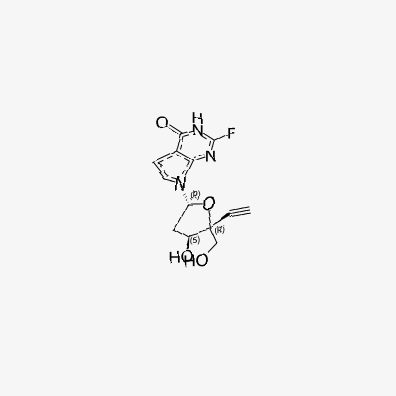 C#C[C@]1(CO)O[C@@H](n2ccc3c(=O)[nH]c(F)nc32)C[C@@H]1O